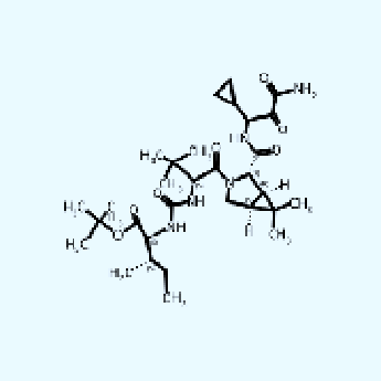 CC[C@H](C)[C@H](NC(=O)N[C@H](C(=O)N1C[C@H]2[C@@H]([C@H]1C(=O)NC(C(=O)C(N)=O)C1CC1)C2(C)C)C(C)(C)C)C(=O)OC(C)(C)C